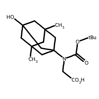 CC12CC3(C)CC(O)(C1)CC(N(CC(=O)O)C(=O)OC(C)(C)C)(C2)C3